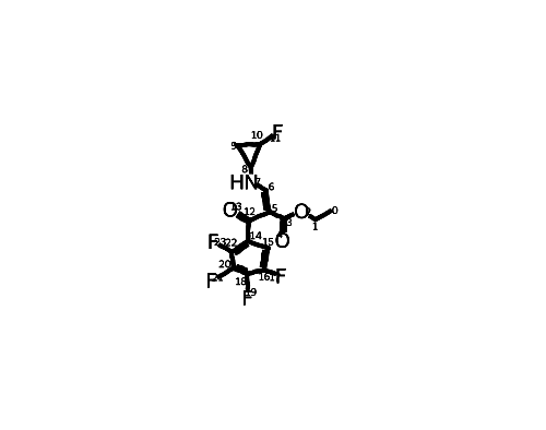 CCOC(=O)/C(=C/NC1CC1F)C(=O)c1cc(F)c(F)c(F)c1F